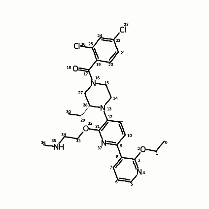 CCOc1ncccc1-c1ccc(N2CCN(C(=O)c3ccc(Cl)cc3Cl)C[C@H]2CC)c(OCCNC)n1